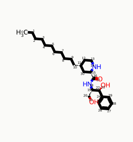 CCCCCCCCCCC[C@@H]1CCN[C@H](C(=O)N[C@@H](CO)[C@@H](O)c2ccccc2)C1